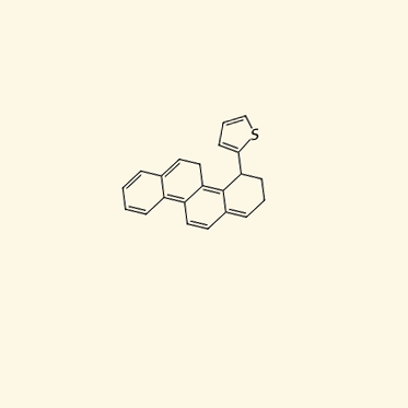 C1=c2ccc3c(c2C(c2cccs2)CC1)CC=c1ccccc1=3